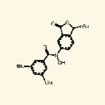 CCCCC1OC(=O)c2cc(N(O)C(=O)c3cc(C(C)(C)C)cc(C(C)(C)C)c3)ccc21